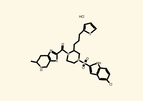 CC1Cc2nc(C(=O)N3CCN(S(=O)(=O)c4cc5cc(Cl)ccc5[nH]4)CC3CCCc3cccs3)sc2CN1.Cl